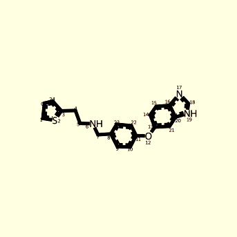 c1csc(CCNCc2ccc(Oc3ccc4nc[nH]c4c3)cc2)c1